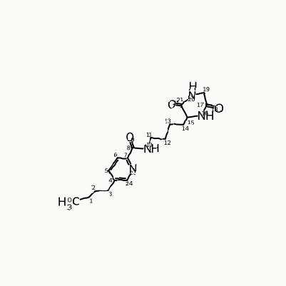 CCCCc1ccc(C(=O)NCCCCC2NC(=O)CNC2=O)nc1